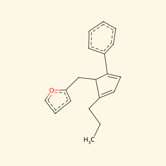 CCCC1=CC=C(c2ccccc2)C1Cc1ccco1